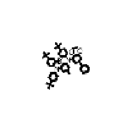 Cc1cc2c3c(c1)N(c1cc(-c4ccccc4)cc4c1OCCO4)c1ccc(C(C)(C)C)cc1B3c1cc(C(C)(C)C)ccc1N2c1ccc(C(C)(C)C)cc1